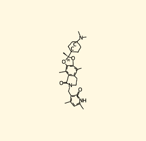 Cc1cc(C)c(CN2CCc3c(C)c4c(c(C)c3C2=O)O[C@](C)(C23CCC(N(C)C)(CC2)CC3)O4)c(=O)[nH]1